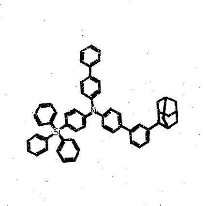 c1ccc(-c2ccc(N(c3ccc(-c4cccc(C5C6CC7CC(C6)CC5C7)c4)cc3)c3ccc([Si](c4ccccc4)(c4ccccc4)c4ccccc4)cc3)cc2)cc1